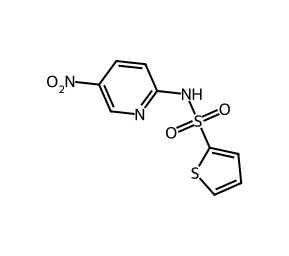 O=[N+]([O-])c1ccc(NS(=O)(=O)c2cccs2)nc1